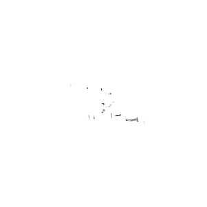 CCCCCCCCCCCC(=O)OS(=O)(=O)OCCN.[NaH]